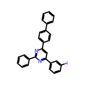 Ic1cccc(-c2cc(-c3ccc(-c4ccccc4)cc3)nc(-c3ccccc3)n2)c1